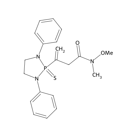 C=C(CC(=O)N(C)OC)P1(=S)N(c2ccccc2)CCN1c1ccccc1